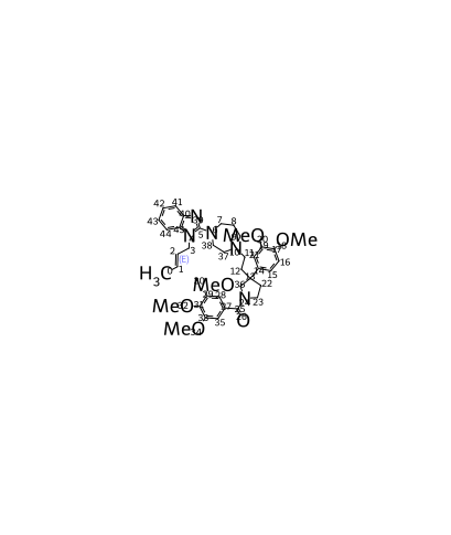 C/C=C/Cn1c(N2CCCN(CCC3(c4ccc(OC)c(OC)c4)CCN(C(=O)c4cc(OC)c(OC)c(OC)c4)C3)CC2)nc2ccccc21